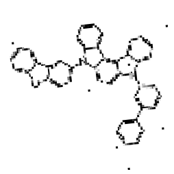 c1ccc(-c2cccc(-n3c4ccccc4c4c5c6ccccc6n(-c6ccc7oc8ccccc8c7c6)c5ccc43)c2)cc1